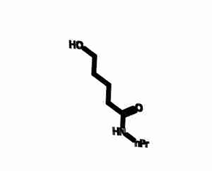 CCCNC(=O)CCCCO